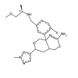 COC[C@@H](C)NCc1ccc(F)c(C23COC(c4cnn(C)c4)CC2CSC(N)=N3)c1